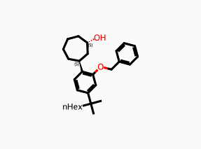 CCCCCCC(C)(C)c1ccc([C@H]2CCCC[C@H](O)C2)c(OCc2ccccc2)c1